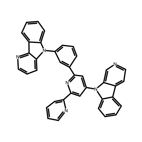 c1ccc(-c2cc(-n3c4ccccc4c4ccncc43)cc(-c3cccc(-n4c5ccccc5c5ncccc54)c3)n2)nc1